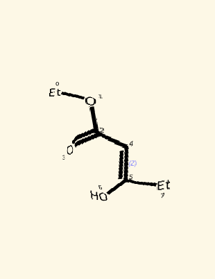 CCOC(=O)/C=C(\O)CC